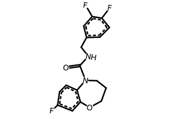 O=C(NCc1ccc(F)c(F)c1)N1CCCOc2cc(F)ccc21